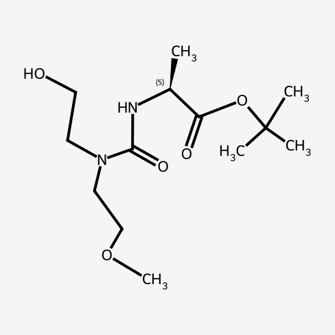 COCCN(CCO)C(=O)N[C@@H](C)C(=O)OC(C)(C)C